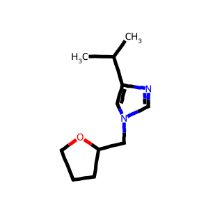 CC(C)c1cn(CC2CCCO2)cn1